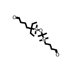 CCC(CC)(CCCC=O)[Si](C)(C)OC(C)(C)[Si](C)(C)CCCC=O